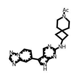 CC(=O)N1CCC2(CC1)CC(Nc1ncc3c(-c4ccn5ncnc5c4)c[nH]c3n1)C2